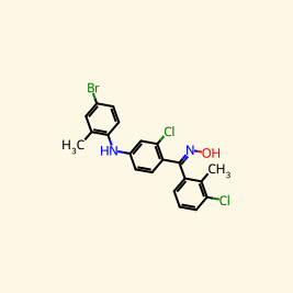 Cc1cc(Br)ccc1Nc1ccc(C(=NO)c2cccc(Cl)c2C)c(Cl)c1